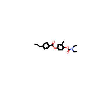 CCCc1ccc(C(=O)Oc2ccc(OC(=O)N(CC)CC)c(C)c2)cc1